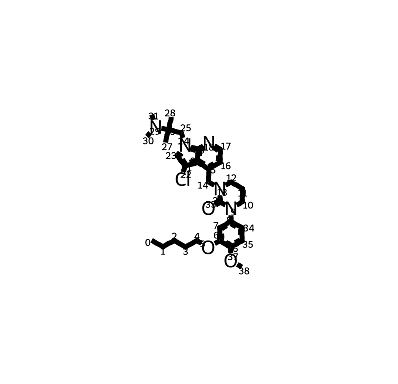 CCCCCOc1cc(N2CCCN(Cc3ccnc4c3c(Cl)cn4CC(C)(C)N(C)C)C2=O)ccc1OC